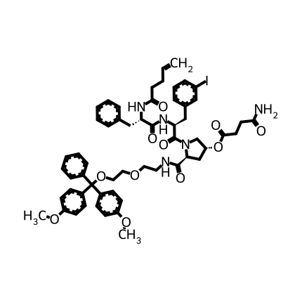 C=CCCC(=O)N[C@@H](Cc1ccccc1)C(=O)N[C@@H](Cc1cccc(I)c1)C(=O)N1C[C@H](OC(=O)CCC(N)=O)C[C@H]1C(=O)NCCOCCOC(c1ccccc1)(c1ccc(OC)cc1)c1ccc(OC)cc1